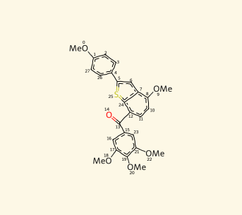 COc1ccc(-c2cc3c(OC)ccc(C(=O)c4cc(OC)c(OC)c(OC)c4)c3s2)cc1